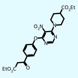 CCOC(=O)CC(=O)c1ccc(Oc2ncnc(N3CCC(C(=O)OCC)CC3)c2[N+](=O)[O-])cc1